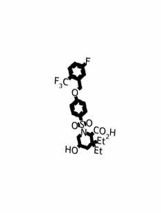 CCC1(CC)CC(O)CN(S(=O)(=O)c2ccc(OCc3cc(F)ccc3C(F)(F)F)cc2)C1C(=O)O